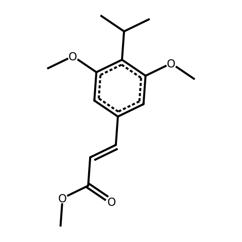 COC(=O)C=Cc1cc(OC)c(C(C)C)c(OC)c1